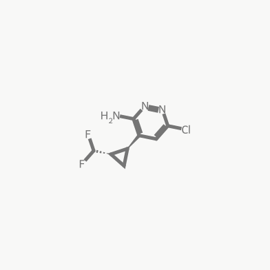 Nc1nnc(Cl)cc1[C@H]1C[C@@H]1C(F)F